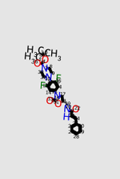 CC(C)(C)OC(=O)N1CCN(c2c(F)cc(N3C[C@H](CNC(=O)C=Cc4ccccc4)OC3=O)cc2F)CC1